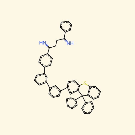 N=C(CCC(=N)c1ccc(-c2cccc(-c3cccc(-c4ccc5c(c4)C(c4ccccc4)(c4ccccc4)c4ccccc4S5)c3)c2)cc1)c1ccccc1